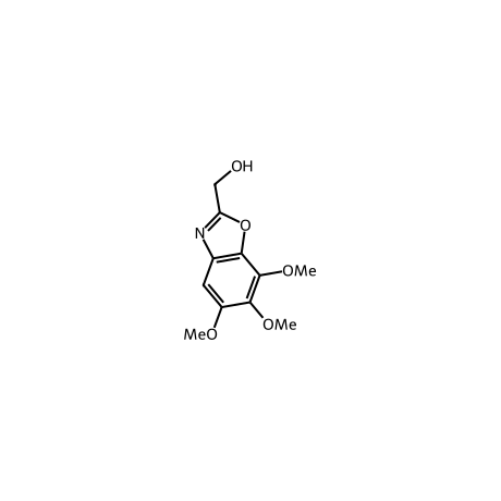 COc1cc2nc(CO)oc2c(OC)c1OC